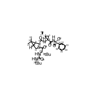 C=C[C@@H]1C[C@]1(NC(=O)[C@@H]1C2[C@H](CN1C(=O)[C@@H](NC(=O)NC(C)(C)C)C(C)(C)C)C2(C)C)C(=O)NS(=O)(=O)c1ccccc1